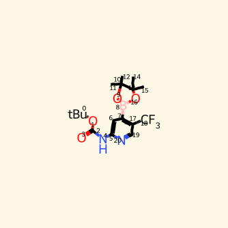 CC(C)(C)OC(=O)Nc1cc(B2OC(C)(C)C(C)(C)O2)c(C(F)(F)F)cn1